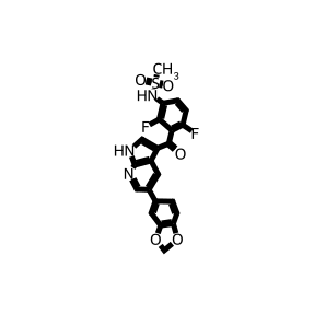 CS(=O)(=O)Nc1ccc(F)c(C(=O)c2c[nH]c3ncc(-c4ccc5c(c4)OCO5)cc23)c1F